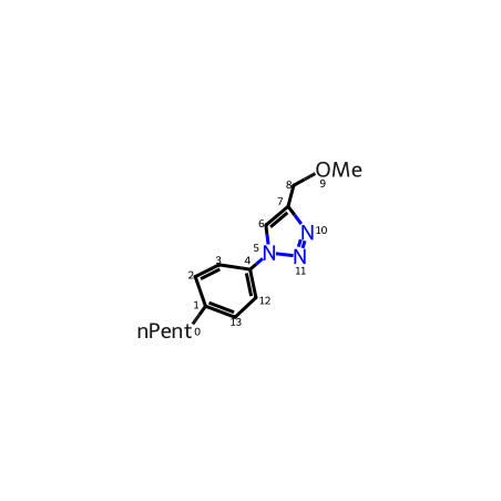 CCCCCc1ccc(-n2cc(COC)nn2)cc1